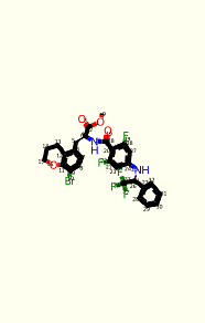 COC(=O)[C@H](Cc1ccc(Br)c2c1CCCO2)NC(=O)c1c(F)cc(N[C@H](c2ccccc2)C(F)(F)F)cc1F